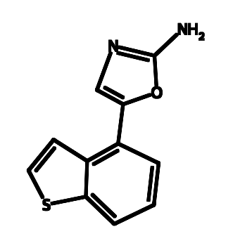 Nc1ncc(-c2cccc3sccc23)o1